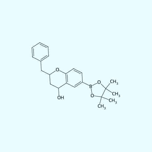 CC1(C)OB(c2ccc3c(c2)C(O)CC(Cc2ccccc2)O3)OC1(C)C